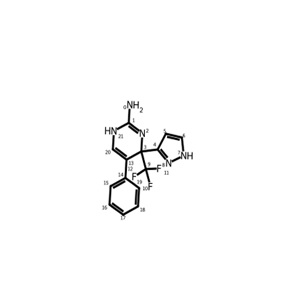 NC1=NC(c2cc[nH]n2)(C(F)(F)F)C(c2ccccc2)=CN1